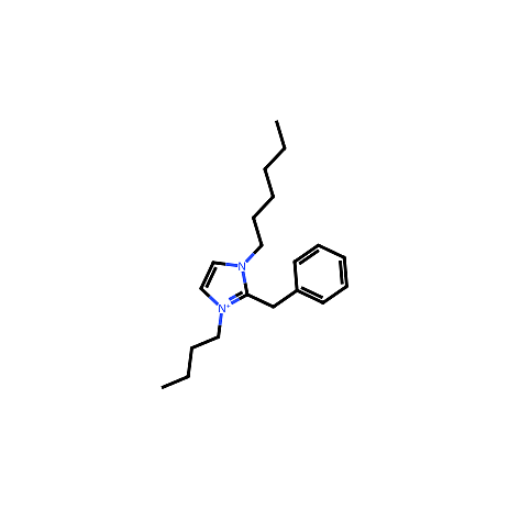 CCCCCCn1cc[n+](CCCC)c1Cc1ccccc1